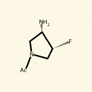 CC(=O)N1C[C@@H](F)[C@@H](N)C1